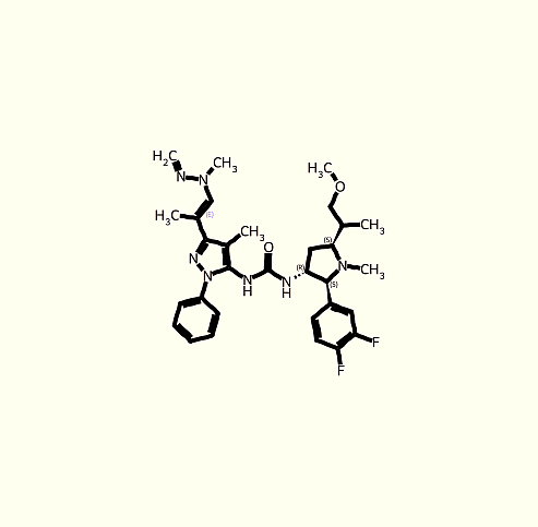 C=NN(C)/C=C(\C)c1nn(-c2ccccc2)c(NC(=O)N[C@@H]2C[C@@H](C(C)COC)N(C)[C@H]2c2ccc(F)c(F)c2)c1C